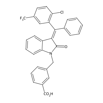 O=C(O)c1cccc(CN2C(=O)/C(=C(\c3ccccc3)c3cc(C(F)(F)F)ccc3Cl)c3ccccc32)c1